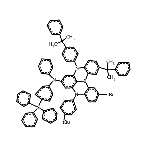 CC(C)(C)c1ccc(N2c3ccc(C(C)(C)C)cc3B3c4cc(C(C)(C)c5ccccc5)ccc4N(c4ccc(C(C)(C)c5ccccc5)cc4)c4cc(N(c5ccccc5)c5ccc([Si](c6ccccc6)(c6ccccc6)c6ccccc6)cc5)cc2c43)cc1